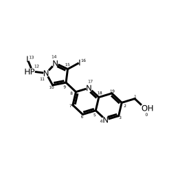 OCc1cnc2ccc(-c3cn(PI)nc3I)nc2c1